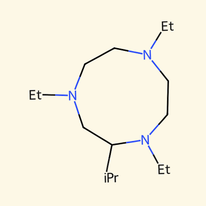 CCN1CCN(CC)CC(C(C)C)N(CC)CC1